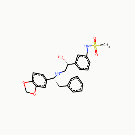 CS(=O)(=O)Nc1cccc([C@@H](O)CN[C@H](Cc2ccccc2)c2ccc3c(c2)OCO3)c1